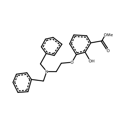 COC(=O)c1cccc(OCCN(Cc2ccccc2)Cc2ccccc2)c1O